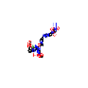 C#Cc1cccc2cc(OCOC)cc(-c3ncc4c(N5CC6CC(O)C(C5)N6C(=O)OC(C)(C)C)nc(OCC5(CN6CCC7(CC6)CC(CN6CCN(c8ccc9c(c8)CN([C@H]8CCC(=O)NC8=O)C9=O)CC6)C7)CC5)nc4c3F)c12